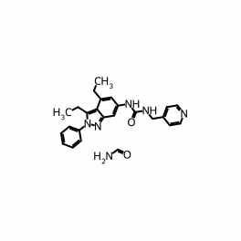 CCc1cc(NC(=O)NCc2ccncc2)cc2nn(-c3ccccc3)c(CC)c12.NC=O